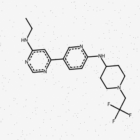 CCNc1cc(-c2ccc(NC3CCN(CC(F)(F)F)CC3)nc2)ncn1